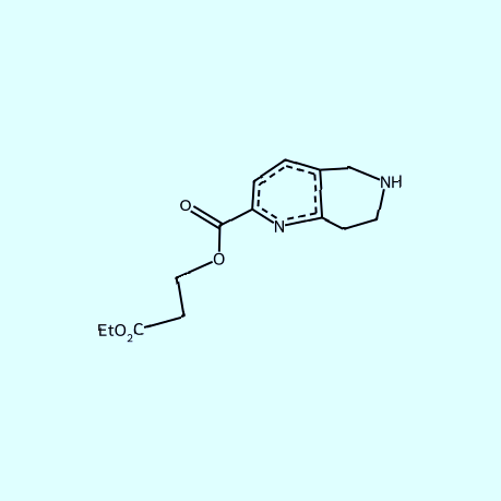 CCOC(=O)CCOC(=O)c1ccc2c(n1)CCNC2